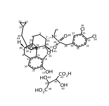 CN([C@H]1CC[C@@]2(O)[C@H]3Cc4ccc(O)c5c4[C@@]2(CCN3CC2CC2)[C@H]1O5)S(=O)(=O)Cc1ccc(Cl)c(Cl)c1.O=C(O)C(O)C(O)C(=O)O